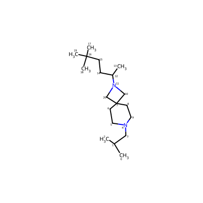 CC(C)CN1CCC2(CC1)CN(C(C)CCC(C)(C)C)C2